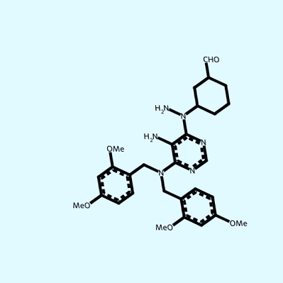 COc1ccc(CN(Cc2ccc(OC)cc2OC)c2ncnc(N(N)C3CCCC(C=O)C3)c2N)c(OC)c1